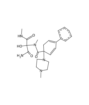 CNC(=O)C(O)(C(N)=O)N(C)C(=O)C1(N2CCN(C)CC2)C=CC(c2ccccc2)=CC1